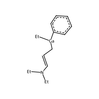 CCN(C=C[CH2][Ga]([CH2]C)[c]1ccccc1)CC